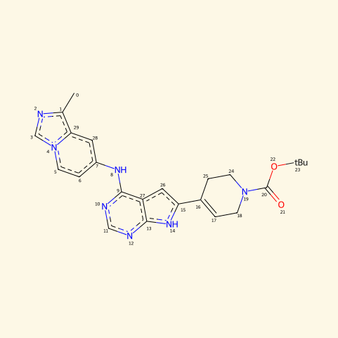 Cc1ncn2ccc(Nc3ncnc4[nH]c(C5=CCN(C(=O)OC(C)(C)C)CC5)cc34)cc12